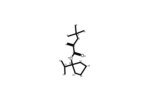 C=C(CC(C)(C)C)C(=O)OC1(C(C)C)CCCC1